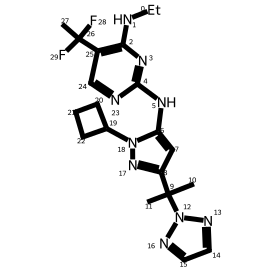 CCNc1nc(Nc2cc(C(C)(C)n3nccn3)nn2C2CCC2)ncc1C(C)(F)F